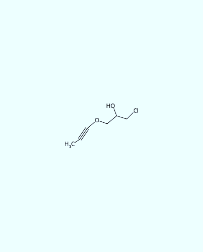 CC#COCC(O)CCl